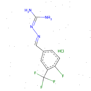 Cl.NC(N)=NN=Cc1ccc(F)c(C(F)(F)F)c1